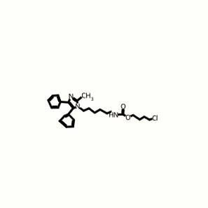 Cc1nc(-c2ccccc2)c(-c2ccccc2)n1CCCCCCNC(=O)OCCCCCl